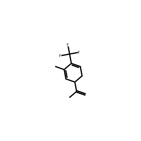 C=C(C)C1C=C(C)C(C(F)(F)F)=CC1